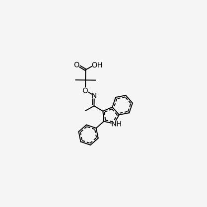 CC(=NOC(C)(C)C(=O)O)c1c(-c2ccccc2)[nH]c2ccccc12